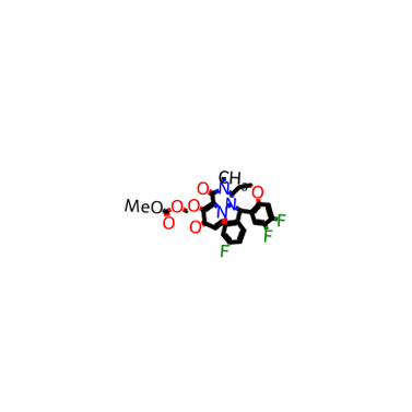 COC(=O)OCOc1c2n(ccc1=O)N1C(c3ccc(F)cc3)c3cc(F)c(F)cc3OCCC1N(C)C2=O